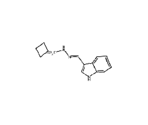 C1CCC1.O=C(O)NN=Cc1c[nH]c2ccccc12